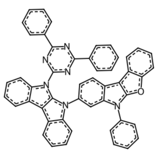 c1ccc(-c2nc(-c3ccccc3)nc(-n3c4ccccc4c4c5ccccc5n(-c5ccc6c7c8ccccc8oc7n(-c7ccccc7)c6c5)c43)n2)cc1